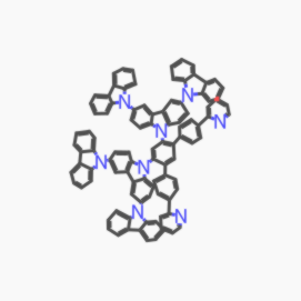 c1ccc(-c2ccc(-c3cc(-c4ccc(-c5ccccn5)cc4)c(-n4c5ccc(-n6c7ccccc7c7ccccc76)cc5c5cc(-n6c7ccccc7c7ccccc76)ccc54)cc3-n3c4ccc(-n5c6ccccc6c6ccccc65)cc4c4cc(-n5c6ccccc6c6ccccc65)ccc43)cc2)nc1